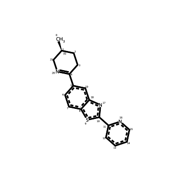 C[C@H]1CCC(c2ccc3sc(-c4ccccn4)nc3c2)=NC1